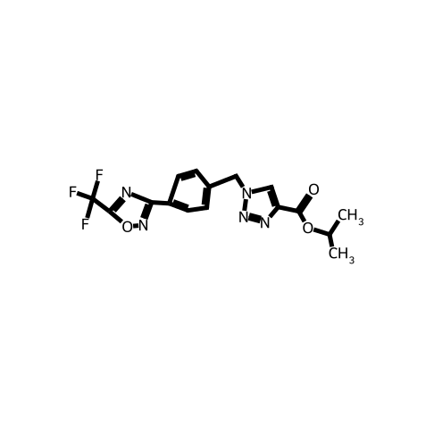 CC(C)OC(=O)c1cn(Cc2ccc(-c3noc(C(F)(F)F)n3)cc2)nn1